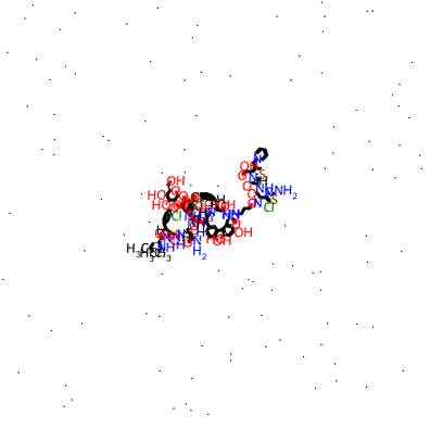 CN[C@H](CC(C)C)C(=O)NC1C(=O)N[C@@H](CC(N)=O)C(=O)N[C@H]2C(=O)N[C@H]3C(=O)N[C@H](C(=O)N[C@H](C(=O)NCCCO/N=C(\C(=O)N[C@@H]4C(=O)N5C(C(=O)O)=C(C[n+]6ccccc6)CS[C@H]45)c4nc(N)sc4Cl)c4cc(O)cc(O)c4-c4cc3ccc4O)[C@H](O)c3ccc(c(Cl)c3)Oc3cc2cc(c3O[C@@H]2O[C@H](CO)[C@@H](O)[C@H](O)[C@H]2O[C@H]2C[C@](C)(N)[C@H](O)[C@H](C)O2)Oc2ccc(cc2Cl)[C@H]1O